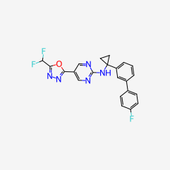 Fc1ccc(-c2cccc(C3(Nc4ncc(-c5nnc(C(F)F)o5)cn4)CC3)c2)cc1